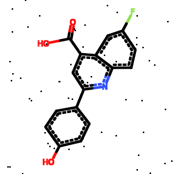 O=C(O)c1cc(-c2ccc(O)cc2)nc2ccc(F)cc12